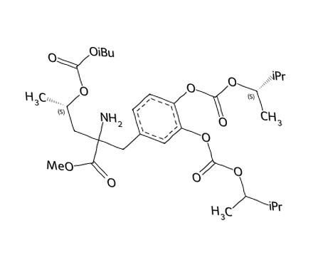 COC(=O)C(N)(Cc1ccc(OC(=O)O[C@@H](C)C(C)C)c(OC(=O)OC(C)C(C)C)c1)C[C@H](C)OC(=O)OCC(C)C